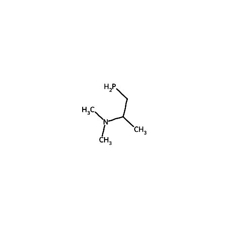 CC(CP)N(C)C